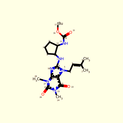 CC(C)=CCn1c(NC2CCCC2NC(=O)OC(C)(C)C)nc2c1c(=O)n(C)c(=O)n2C